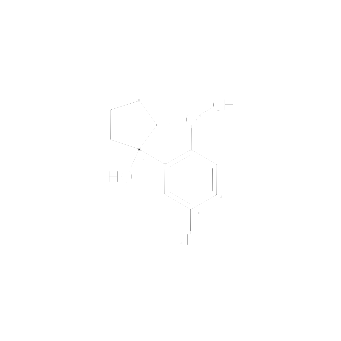 COc1ccc(F)cc1C1(O)CCCC1